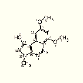 COc1cc(OC)c2nnc3c(c(O)nn3C)c2c1